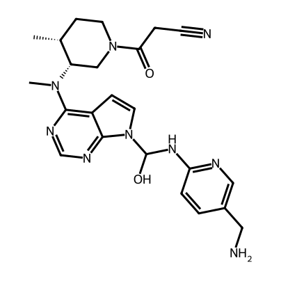 C[C@@H]1CCN(C(=O)CC#N)C[C@@H]1N(C)c1ncnc2c1ccn2C(O)Nc1ccc(CN)cn1